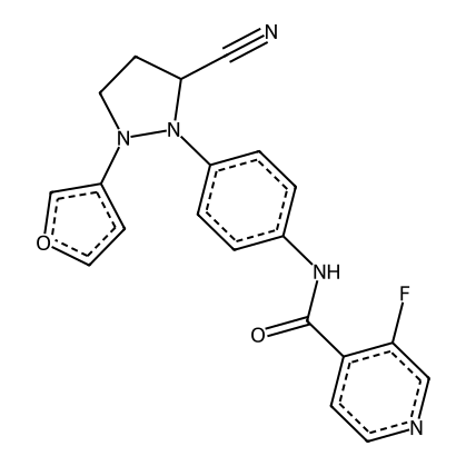 N#CC1CCN(c2ccoc2)N1c1ccc(NC(=O)c2ccncc2F)cc1